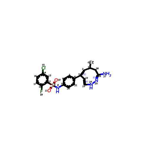 CCC1/C=C(c2ccc(NS(=O)(=O)c3cc(Cl)ccc3F)cc2)\C=C\N/N=C(/N)C1